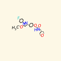 CCOc1cc(-c2ccc(OCC(=O)NCC3=CCOCC3)cc2)nn1-c1ccc(F)cc1